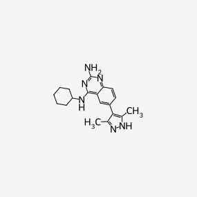 Cc1n[nH]c(C)c1-c1ccc2nc(N)nc(NC3CCCCC3)c2c1